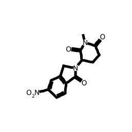 CN1C(=O)CCC(N2Cc3cc([N+](=O)[O-])ccc3C2=O)C1=O